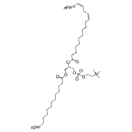 CCCCC/C=C\C/C=C\CCCCCCCCCC(=O)O[C@H](COC(=O)CCCCCCCCCCCCCCCCCCCCC)COP(=O)([O-])OCC[N+](C)(C)C